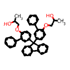 CC(O)COc1ccc(C2(c3ccc(OCC(C)O)c(-c4ccccc4)c3)c3ccccc3-c3ccccc32)cc1-c1ccccc1